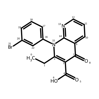 CCc1c(C(=O)O)c(=O)c2cccnc2n1-c1cccc(Br)c1